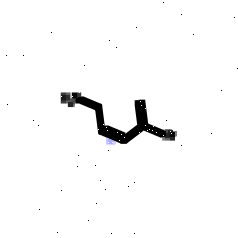 C=C(/C=C\CN)C(C)C